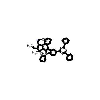 C=CC1=C(/C=C\C)c2c(c3c(c4ccccc24)c2cc(-c4nc(-c5ccccc5)nc(-c5ccccc5)n4)ccc2n3-c2ccccc2)C1(C)C